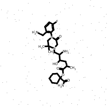 CC(CC(O)C(N)CN1CC(=O)N(c2cc(F)ccc2CN)CC1(C)C)C(=O)OC1(C(N)=O)CCCCC1